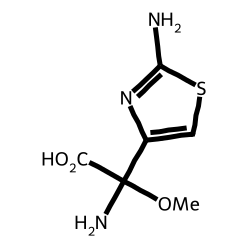 COC(N)(C(=O)O)c1csc(N)n1